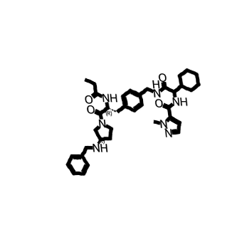 CCC(=O)N[C@H](Cc1ccc(CNC(=O)C(NC(=O)c2ccnn2C)C2CCCCC2)cc1)C(=O)N1CC[C@@H](NCc2ccccc2)C1